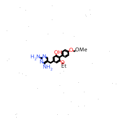 CCOc1cc(Cc2cnc(N)nc2N)cc(O)c1-c1ccc(OCOC)cc1